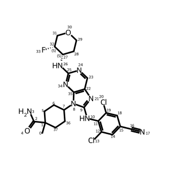 CC1(C(N)=O)CCC(n2c(Nc3c(Cl)cc(C#N)cc3Cl)nc3cnc(N[C@H]4CCOC[C@H]4F)nc32)CC1